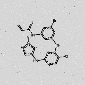 C=CC(=O)Nc1cc(Br)cc(Nc2nc(Nc3cnn(C)c3)ncc2Cl)c1